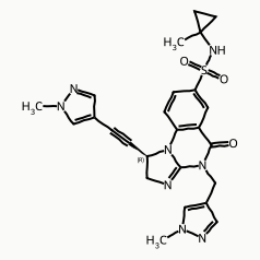 Cn1cc(C#C[C@@H]2CN=C3N(Cc4cnn(C)c4)C(=O)c4cc(S(=O)(=O)NC5(C)CC5)ccc4N32)cn1